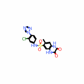 Cc1cc2[nH]c(=O)c(=O)[nH]c2cc1S(=O)(=O)Nc1ccc(-n2cncn2)c(Cl)c1